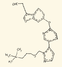 C[Si](C)(C)CCOCn1nccc1-c1ccc(Oc2ccc3c(CC=O)coc3c2)nc1